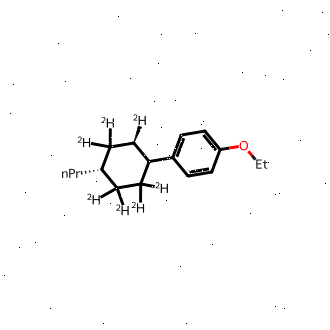 [2H][C@H]1C(c2ccc(OCC)cc2)C([2H])([2H])C([2H])([2H])[C@H](CCC)C1([2H])[2H]